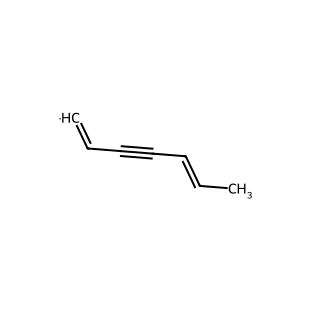 [CH]=CC#C/C=C/C